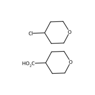 ClC1CCOCC1.O=C(O)C1CCOCC1